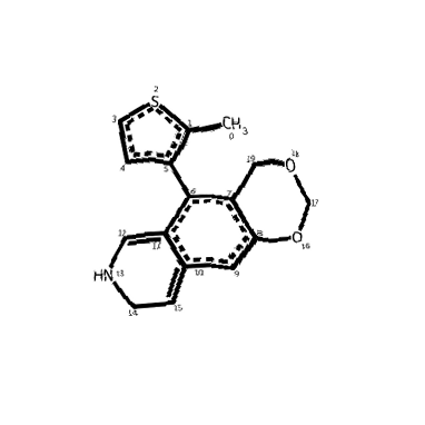 Cc1sccc1-c1c2c(cc3c1=CNCC=3)OCOC2